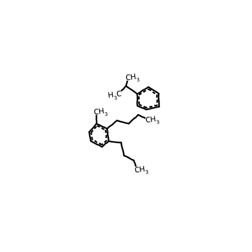 CC(C)c1ccccc1.CCCCc1cccc(C)c1CCCC